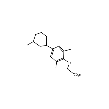 Cc1cc(C2CCCC(C)C2)cc(C)c1OCC(=O)O